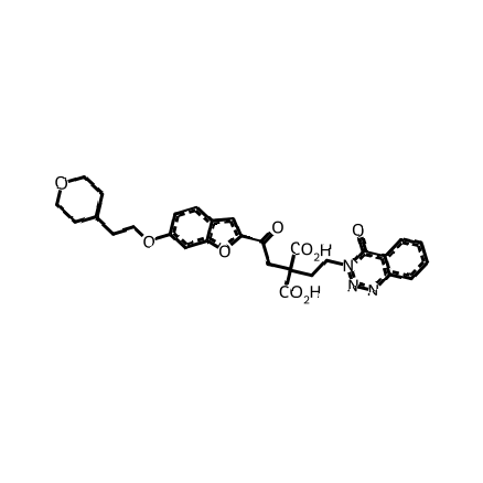 O=C(CC(CCn1nnc2ccccc2c1=O)(C(=O)O)C(=O)O)c1cc2ccc(OCCC3CCOCC3)cc2o1